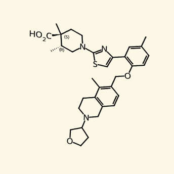 Cc1ccc(OCc2ccc3c(c2C)CCN(C2CCOC2)C3)c(-c2csc(N3CC[C@](C)(C(=O)O)[C@@H](C)C3)n2)c1